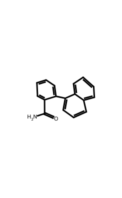 NC(=O)c1ccccc1-c1cccc2ccccc12